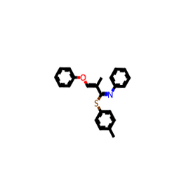 CC(=C\Oc1ccccc1)/C(=N\c1ccccc1)Sc1ccc(C)cc1